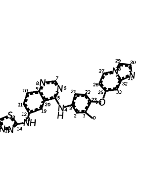 Cc1cc(Nc2ncnc3ccc(Nc4nncs4)cc23)ccc1Oc1ccn2ccnc2c1